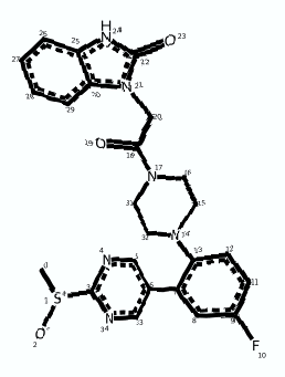 C[S+]([O-])c1ncc(-c2cc(F)ccc2N2CCN(C(=O)Cn3c(=O)[nH]c4ccccc43)CC2)cn1